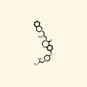 CC(O)CN1CCC(Oc2ccc3c(c2)OCCN(C[C@H](O)CN2CCc4ccccc4C2)C3=O)CC1